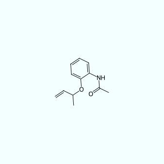 C=CC(C)Oc1ccccc1NC(C)=O